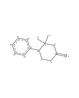 CC1(C)CC(=O)CCC1c1ccccc1